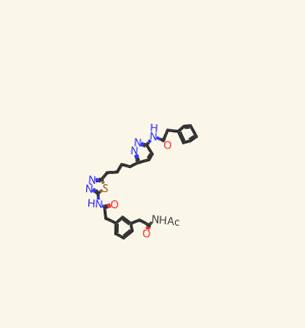 CC(=O)NC(=O)Cc1cccc(CC(=O)Nc2nnc(CCCCc3ccc(NC(=O)Cc4ccccc4)nn3)s2)c1